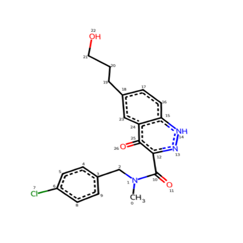 CN(Cc1ccc(Cl)cc1)C(=O)c1n[nH]c2ccc(CCCO)cc2c1=O